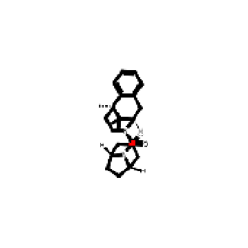 CC1(C)[C@H]2Cc3ccccc3[C@]1(C)CCN2C(=O)N1[C@@H]2CC[C@H]1CC(=O)C2